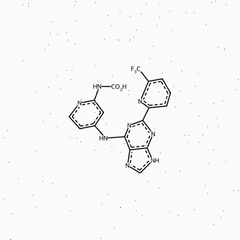 O=C(O)Nc1cc(Nc2nc(-c3cccc(C(F)(F)F)n3)nc3[nH]cnc23)ccn1